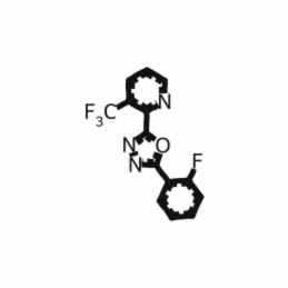 Fc1ccccc1-c1nnc(-c2ncccc2C(F)(F)F)o1